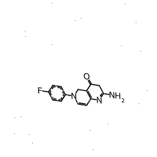 NC1=NC2=C(CN(c3ccc(F)cc3)C=C2)C(=O)C1